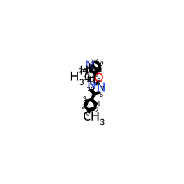 Cc1ccc(-c2cnc(O[C@@H]3C4CCN(CC4)[C@H]3C)nc2)cc1